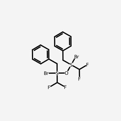 FC(F)S(Br)(Cc1ccccc1)OS(Br)(Cc1ccccc1)C(F)F